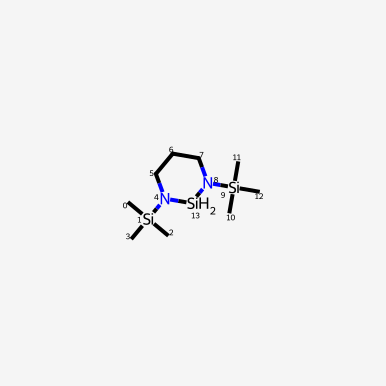 C[Si](C)(C)N1CCCN([Si](C)(C)C)[SiH2]1